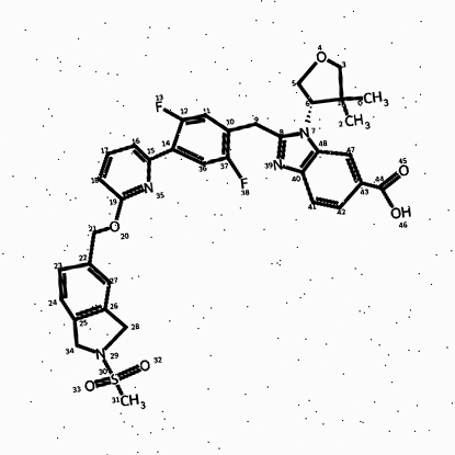 CC1(C)COC[C@H]1n1c(Cc2cc(F)c(-c3cccc(OCc4ccc5c(c4)CN(S(C)(=O)=O)C5)n3)cc2F)nc2ccc(C(=O)O)cc21